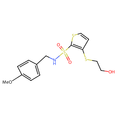 COc1ccc(CNS(=O)(=O)c2sccc2SCCO)cc1